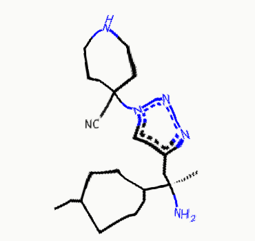 CC1CCC([C@](C)(N)c2cn(C3(C#N)CCNCC3)nn2)CC1